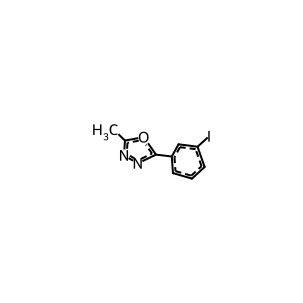 Cc1nnc(-c2cccc(I)c2)o1